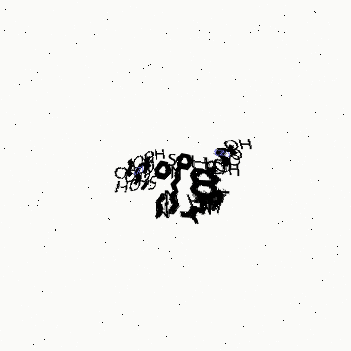 CC(C)=CCN1CC[C@@]2(C)c3cc(O)ccc3C[C@@H]1[C@@H]2C.CC(O)C(=O)O.CCSc1ccc2c(c1)N(CCCN1CCN(C)CC1)c1ccccc1S2.O=C(O)/C=C\C(=O)O.O=C(O)/C=C\C(=O)O